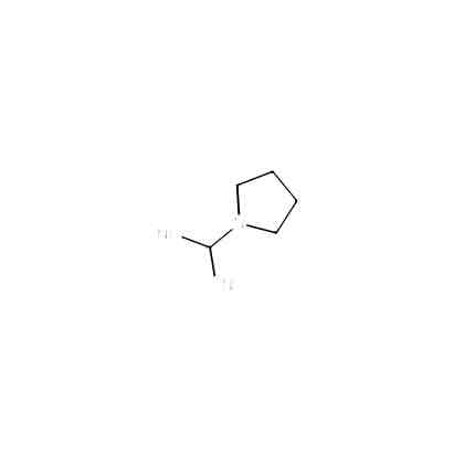 N#CC(C#N)N1CCCC1